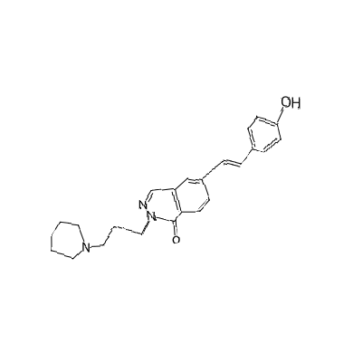 O=c1c2ccc(C=Cc3ccc(O)cc3)cc2cnn1CCCN1CCCCC1